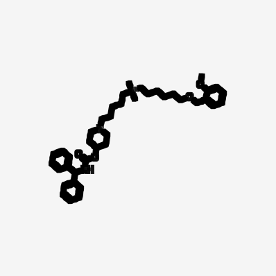 COc1ccccc1COCCCCCC[N+](C)(C)CCCCCN1CCC(OC(=O)NC(c2ccccc2)c2ccccc2)CC1